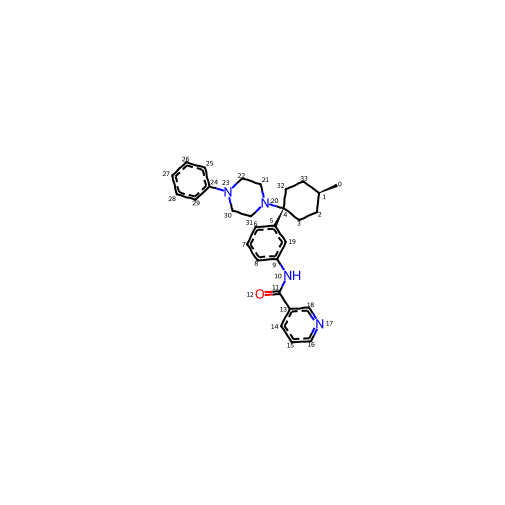 C[C@H]1CC[C@](c2cccc(NC(=O)c3cccnc3)c2)(N2CCN(c3ccccc3)CC2)CC1